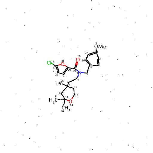 COc1ccc(CN(CCC2(C(C)C)CCOC(C)(C)C2)C(=O)c2ccc(Cl)o2)cc1